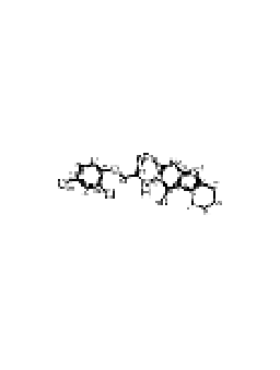 CCCc1nc2sc3c(c2c(=O)n1NC(=O)COc1ccc(Cl)cc1Cl)CCCC3